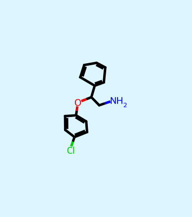 NCC(Oc1ccc(Cl)cc1)c1ccccc1